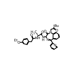 CCOc1ccc(CC(=O)N[C@@H](C)C(=O)NC2N=C(c3ccccn3)c3ccccc3N(CC(=O)C(C)(C)C)C2=O)cc1